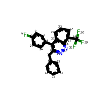 Fc1ccc(-c2c(Cc3ccccc3)nnc3c(C(F)(F)F)cccc23)cc1